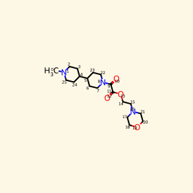 CN1CCC(C2CCN(C(=O)C(=O)OCCN3CCOCC3)CC2)CC1